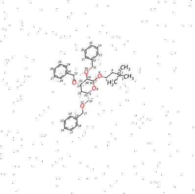 C[Si](C)(C)CCO[C@H]1O[C@H](COCc2ccccc2)C[C@H](OCc2ccccc2)[C@H]1OCc1ccccc1